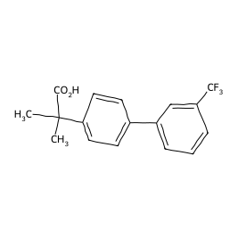 CC(C)(C(=O)O)c1ccc(-c2cccc(C(F)(F)F)c2)cc1